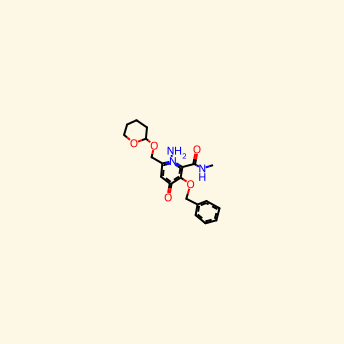 CNC(=O)c1c(OCc2ccccc2)c(=O)cc(COC2CCCCO2)n1N